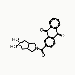 O=C1c2ccccc2C(=O)c2cc(C(=O)N3CC4CS(O)(O)CC4C3)ccc21